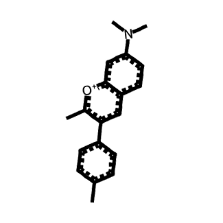 Cc1ccc(-c2cc3ccc(N(C)C)cc3[o+]c2C)cc1